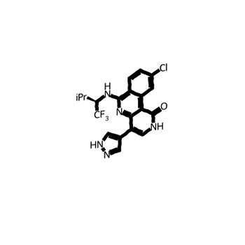 CC(C)[C@@H](Nc1nc2c(-c3cn[nH]c3)c[nH]c(=O)c2c2cc(Cl)ccc12)C(F)(F)F